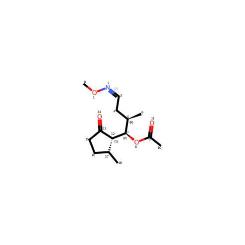 CO/N=C\C[C@@H](C)[C@@H](OC(C)=O)[C@H]1C(=O)CCC1C